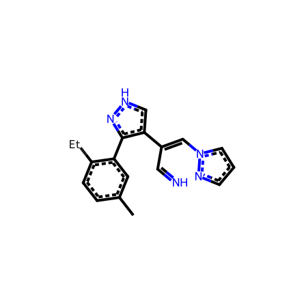 CCc1ccc(C)cc1-c1n[nH]cc1/C(C=N)=C/n1cccn1